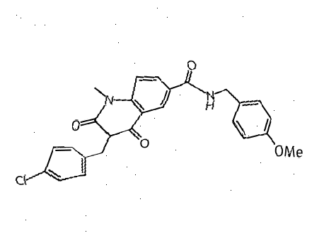 COc1ccc(CNC(=O)c2ccc3c(c2)C(=O)C(Cc2ccc(Cl)cc2)C(=O)N3C)cc1